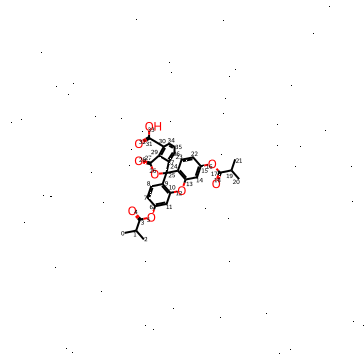 CC(C)C(=O)Oc1ccc2c(c1)Oc1cc(OC(=O)C(C)C)ccc1C21OC(=O)c2c(C(=O)O)cccc21